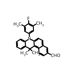 Cc1cc(N2c3ccccc3C(C)(C)c3c2ccc2cc(C=O)ccc32)cc(C)c1F